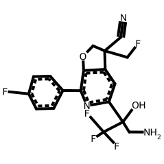 N#CC1(CF)COc2c1cc(C(O)(CN)C(F)(F)F)nc2-c1ccc(F)cc1